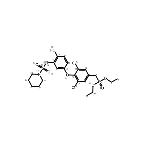 CCOP(=O)(Cc1cc(Cl)c(Oc2ccc(O)c(NS(=O)(=O)N3CCCCC3)c2)c(Cl)c1)OCC